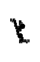 CCOC(Cc1ccc(OCCN(CCOCCCC(F)(F)F)C(=O)Nc2ccccc2C)cc1)C(=O)O